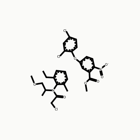 CCc1cccc(C)c1N(C(=O)CCl)C(C)COC.COC(=O)c1cc(Oc2ccc(Cl)cc2Cl)ccc1[N+](=O)[O-]